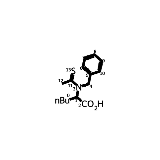 CCCCC(C(=O)O)N(Cc1ccccc1)C(C)=S